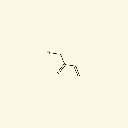 [CH]=CC(=N)CCC